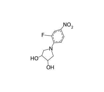 O=[N+]([O-])c1ccc(N2CC(O)C(O)C2)c(F)c1